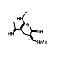 CCN/C=C(/C/C(=C/NC)C(=N)Br)C(C)=N